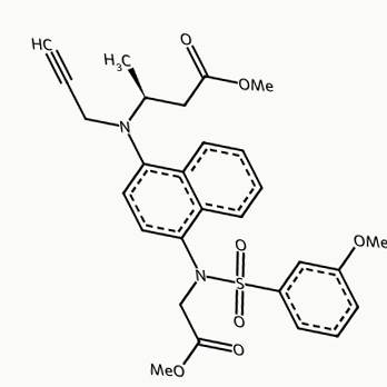 C#CCN(c1ccc(N(CC(=O)OC)S(=O)(=O)c2cccc(OC)c2)c2ccccc12)[C@@H](C)CC(=O)OC